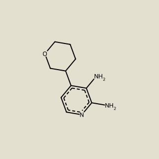 Nc1nccc(C2CCCOC2)c1N